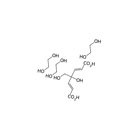 O=C(O)C=CC(O)(C=CC(=O)O)CO.OCCO.OCCO.OCCO